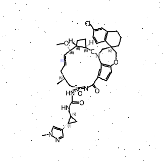 CO[C@H]1/C=C/C[C@H](C)C[S@@](=O)(NC(=O)N[C@H]2C[C@@H]2c2cnn(C)c2)=NC(=O)c2ccc3c(c2)N(C[C@@H]2CC[C@H]21)C[C@@]1(CCCc2cc(Cl)ccc21)CO3